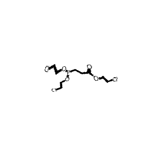 O=C(CCP(OCCCl)OCCCl)OCCCl